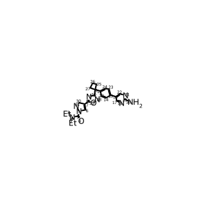 CCN(CC)C(=O)n1cc(-c2nc(C3(c4ccc(-c5cnc(N)nc5)cc4)CCC3)no2)cn1